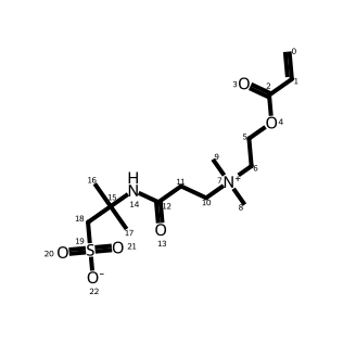 C=CC(=O)OCC[N+](C)(C)CCC(=O)NC(C)(C)CS(=O)(=O)[O-]